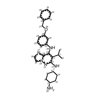 CC(C)c1c(N[C@H]2CC[C@H](N)CC2)nn2ccnc2c1Nc1cccc(OCc2ccccc2)c1